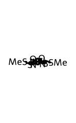 CSCCc1cc2c(nc3c4ccc5c6c(ccc(c(=O)n23)c46)c(=O)n2c3cc(CCSC)sc3nc52)s1